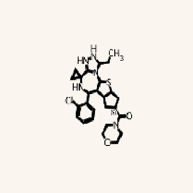 CCC1NNC2N1C1SC3C[C@@H](C(=O)N4CCOCC4)CC3C1C(c1ccccc1Cl)NC21CC1